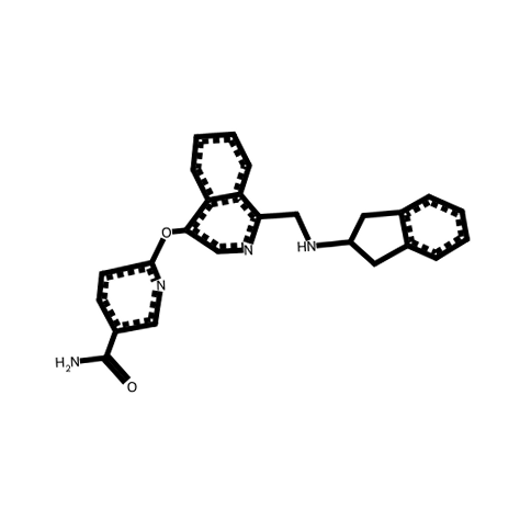 NC(=O)c1ccc(Oc2cnc(CNC3Cc4ccccc4C3)c3ccccc23)nc1